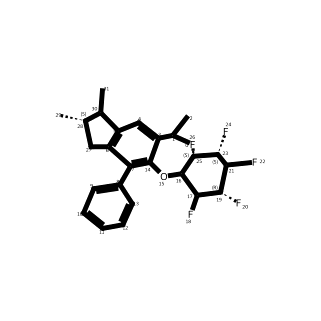 CC(C)c1cc2c(c(-c3ccccc3)c1OC1C(F)[C@@H](F)C(F)[C@@H](F)[C@H]1F)C[C@H](C)C2C